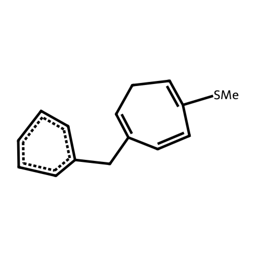 CSC1=CCC=C(Cc2ccccc2)C=C1